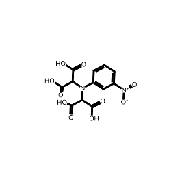 O=C(O)C(C(=O)O)N(c1cccc([N+](=O)[O-])c1)C(C(=O)O)C(=O)O